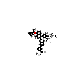 CC(C)c1cccc(-c2ccc3c(=O)n(-c4ccc(Cl)c5c(NS(C)(=O)=O)nn(C)c45)c([C@H](Cc4cc(F)cc(F)c4)NC(=O)Cn4nc(C(F)F)c5c4C(F)(F)C4CC54)nc3c2)c1